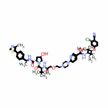 Cc1ncsc1-c1ccc([C@H](C)NC(=O)[C@@H]2C[C@@H](O)CN2C(=O)[C@@H](NC(=O)COCCN2CCN(c3ccc(C(O)N[C@H]4C(C)(C)[C@H](Oc5ccc(C#N)c(Cl)c5)C4(C)C)cn3)CC2)C(C)(C)C)cc1